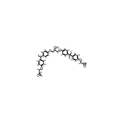 CC(c1ccc(OCC(O)COc2ccc(C(C)(C)c3ccc(OCC4CO4)cc3)cc2)cc1)c1ccc(OCC2CO2)cc1